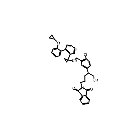 O=C1c2ccccc2C(=O)N1CCCC(CO)c1ccc(Cl)c(CNC2(c3cnccc3-c3ccccc3OC3CC3)CC2)c1